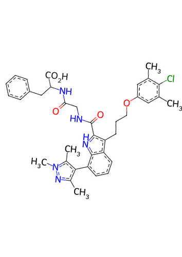 Cc1cc(OCCCc2c(C(=O)NCC(=O)NC(Cc3ccccc3)C(=O)O)[nH]c3c(-c4c(C)nn(C)c4C)cccc23)cc(C)c1Cl